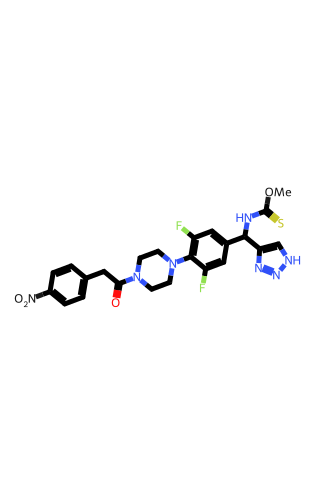 COC(=S)NC(c1cc(F)c(N2CCN(C(=O)Cc3ccc([N+](=O)[O-])cc3)CC2)c(F)c1)c1c[nH]nn1